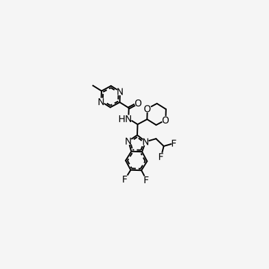 Cc1cnc(C(=O)NC(c2nc3cc(F)c(F)cc3n2CC(F)F)C2COCCO2)cn1